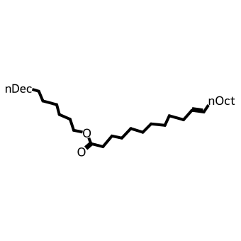 CCCCCCCCC=CCCCCCCCCCC(=O)OCCCCCCCCCCCCCCCC